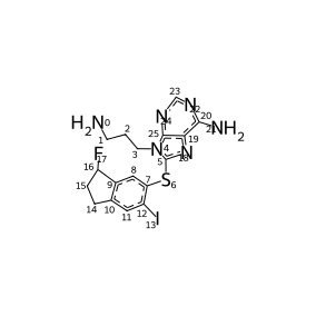 NCCCn1c(Sc2cc3c(cc2I)CCC3F)nc2c(N)ncnc21